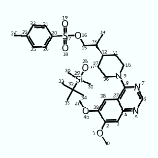 COc1cc2ncnc(N3CC[C@H](C(C)COS(=O)(=O)c4ccc(C)cc4)[C@@H](O[Si](C)(C)C(C)(C)C)C3)c2cc1OC